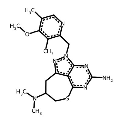 COc1c(C)cnc(Cn2nc3c4c(nc(N)nc42)SCC(N(C)C)C3)c1C